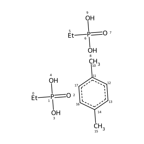 CCP(=O)(O)O.CCP(=O)(O)O.Cc1ccc(C)cc1